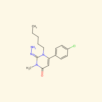 CCCCCn1c(-c2ccc(Cl)cc2)cc(=O)n(C)c1=NN